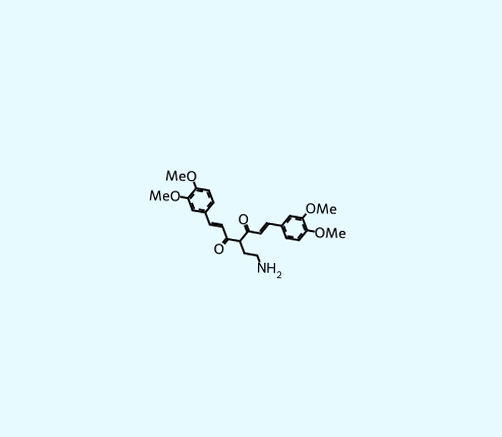 COc1ccc(/C=C/C(=O)C(CCN)C(=O)/C=C/c2ccc(OC)c(OC)c2)cc1OC